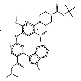 COc1nc(N2CCN(C(=O)OC(C)(C)C)CC2)c([N+](=O)[O-])cc1Nc1ncc(C(=O)OC(C)C)c(-c2cn(C)c3ccccc23)n1